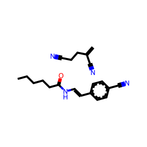 C=C(C#N)CCC#N.CCCCCC(=O)NC=Cc1ccc(C#N)cc1